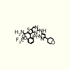 CC(C)n1nc(C2CCOCC2)cc1Nc1ncc2sc(C(N)=O)c(-c3ccccc3OC(F)(F)F)c2n1